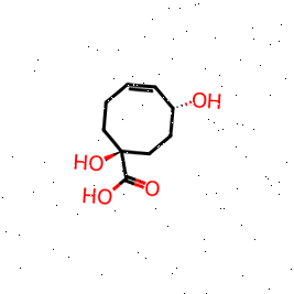 O=C(O)[C@]1(O)CC/C=C\[C@H](O)CC1